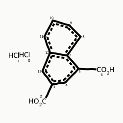 Cl.Cl.O=C(O)c1cc(C(=O)O)c2ccccc2c1